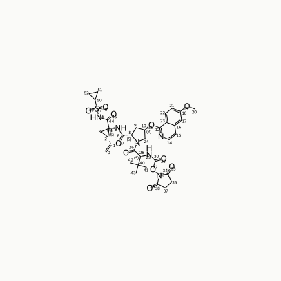 C=C[C@@H]1C[C@]1(NC(=O)[C@@H]1C[C@@H](Oc2nccc3cc(OC)ccc23)CN1C(=O)[C@@H](NC(=O)ON1C(=O)CCC1=O)C(C)(C)C)C(=O)NS(=O)(=O)C1CC1